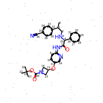 CC(CN[C@H](C(=O)Nc1ccc(OC2CN(C(=O)OC(C)(C)C)C2)cn1)c1ccccc1)c1ccc(C#N)cc1